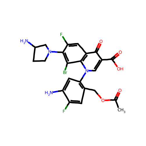 CC(=O)OCc1cc(F)c(N)cc1-n1cc(C(=O)O)c(=O)c2cc(F)c(N3CCC(N)C3)c(Br)c21